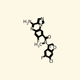 CN(C(=O)c1cc2c(cc1F)nc(N)c1cncn12)[C@@H]1COc2cc(Cl)c(F)cc21